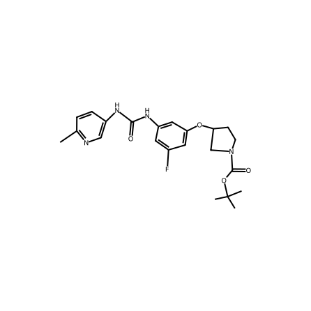 Cc1ccc(NC(=O)Nc2cc(F)cc(OC3CCN(C(=O)OC(C)(C)C)C3)c2)cn1